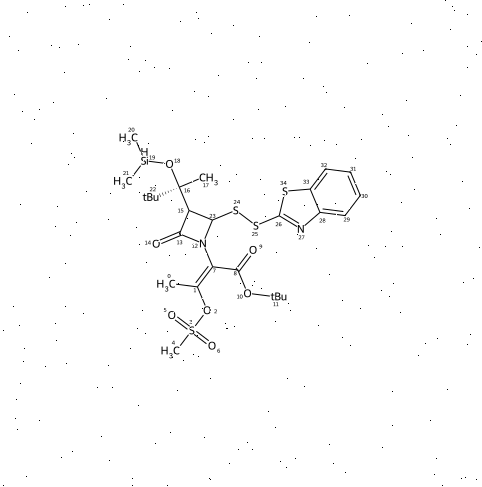 C/C(OS(C)(=O)=O)=C(/C(=O)OC(C)(C)C)N1C(=O)C([C@](C)(O[SiH](C)C)C(C)(C)C)C1SSc1nc2ccccc2s1